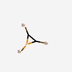 BrC1C(Br)P1Br